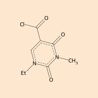 CCn1cc(C(=O)Cl)c(=O)n(C)c1=O